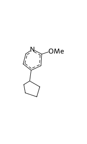 COc1cc(C2CCCC2)ccn1